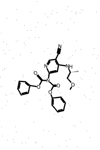 COC[C@@H](C)Nc1cc(N(C(=O)Oc2ccccc2)C(=O)Oc2ccccc2)ncc1C#N